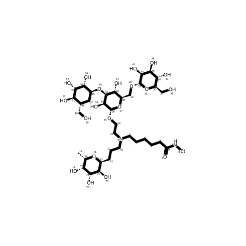 CCNC(=O)CCCCCN(CCC[C@@H]1O[C@@H](C)[C@@H](O)[C@@H](O)[C@@H]1O)CCO[C@H]1O[C@H](CO[C@H]2O[C@H](CO)[C@@H](O)[C@H](O)[C@@H]2O)[C@@H](O)[C@H](O[C@H]2C[C@H](CO)[C@@H](O)[C@H](O)[C@@H]2O)[C@@H]1O